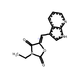 CCN1C(=O)O/C(=C\c2c[nH]c3ncccc23)C1=O